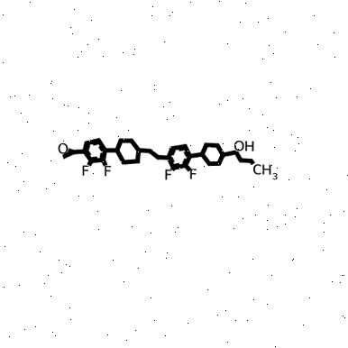 CCCC(O)C1CCC(c2ccc(CCC3CCC(c4ccc(C5CO5)c(F)c4F)CC3)c(F)c2F)CC1